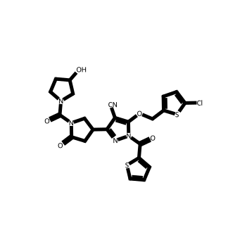 N#Cc1c(C2CC(=O)N(C(=O)N3CCC(O)C3)C2)nn(C(=O)c2cccs2)c1OCc1ccc(Cl)s1